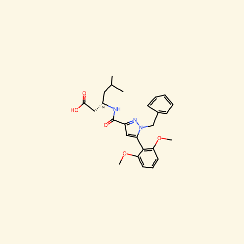 COc1cccc(OC)c1-c1cc(C(=O)N[C@H](CC(=O)O)CC(C)C)nn1Cc1ccccc1